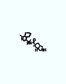 Cc1ncc(C(C)(C)NC(=O)[C@H]2CC3CNC[C@@H]3C2)c2ccccc12